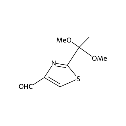 COC(C)(OC)c1nc(C=O)cs1